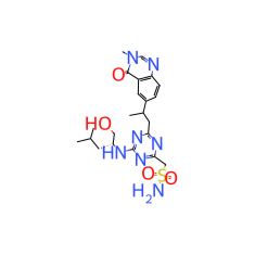 CC(C)C[C@H](CO)Nc1nc(CC(C)c2ccc3ncn(C)c(=O)c3c2)nc(CS(N)(=O)=O)n1